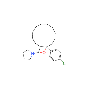 OC1(c2ccc(Cl)cc2)CCCCCCCCCCC1CN1CCCC1